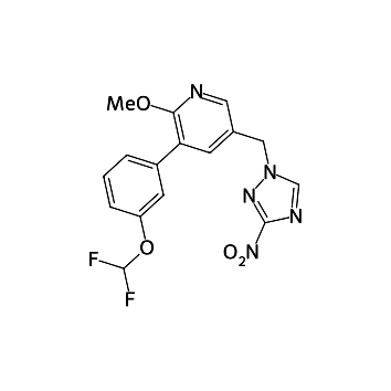 COc1ncc(Cn2cnc([N+](=O)[O-])n2)cc1-c1cccc(OC(F)F)c1